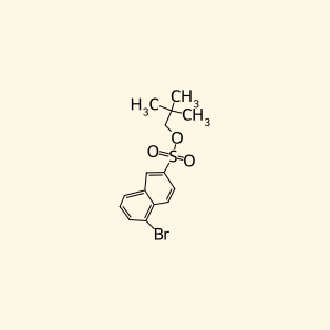 CC(C)(C)COS(=O)(=O)c1ccc2c(Br)cccc2c1